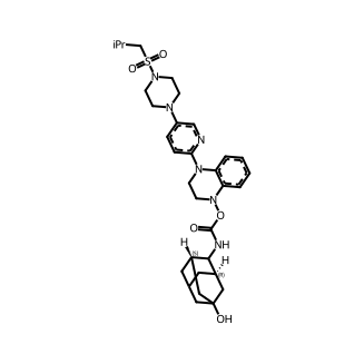 CC(C)CS(=O)(=O)N1CCN(c2ccc(N3CCN(OC(=O)NC4[C@@H]5CC6C[C@H]4CC(O)(C6)C5)c4ccccc43)nc2)CC1